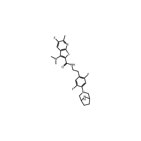 Cc1nc2sc(C(=O)NCCc3cc(F)c(N4CC5CCC(C4)N5)cc3F)c(N(C)C)c2cc1F